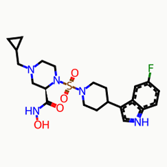 O=C(NO)[C@H]1CN(CC2CC2)CCN1S(=O)(=O)N1CCC(c2c[nH]c3ccc(F)cc23)CC1